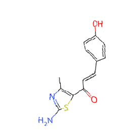 Cc1nc(N)sc1C(=O)C=Cc1ccc(O)cc1